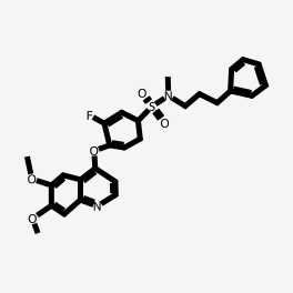 COc1cc2nccc(OC3=CCC(S(=O)(=O)N(C)CCCc4ccccc4)C=C3F)c2cc1OC